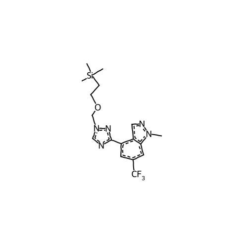 Cn1ncc2c(-c3ncn(COCC[Si](C)(C)C)n3)cc(C(F)(F)F)cc21